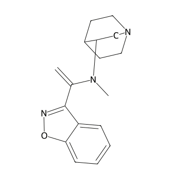 C=C(c1noc2ccccc12)N(C)C1CN2CCC1CC2